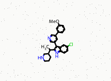 COc1cccc(-c2cncc(-c3c(C(C)C4CCCNC4)[nH]c4ccc(Cl)cc34)c2)c1